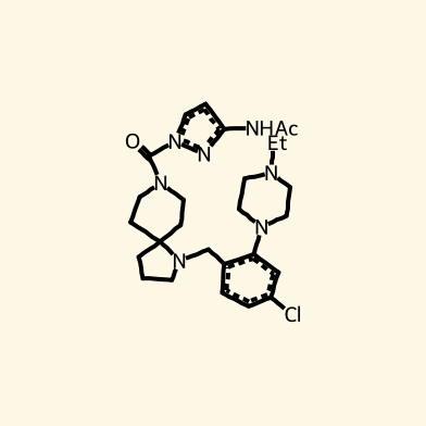 CCN1CCN(c2cc(Cl)ccc2CN2CCCC23CCN(C(=O)n2ccc(NC(C)=O)n2)CC3)CC1